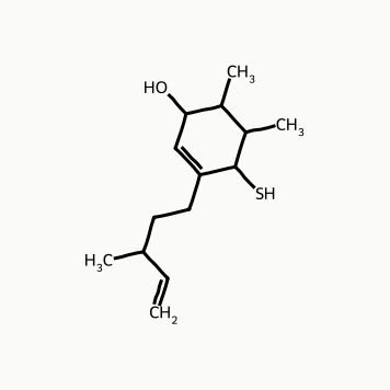 C=CC(C)CCC1=CC(O)C(C)C(C)C1S